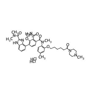 COc1c(-c2cccc3[nH]c(C(=O)N(C)C)nc23)ccc(C(=O)N(C)c2ccc(C)cc2OCCCCCC(=O)N2CCN(C)CC2)c1C(N)=O.Cl.Cl